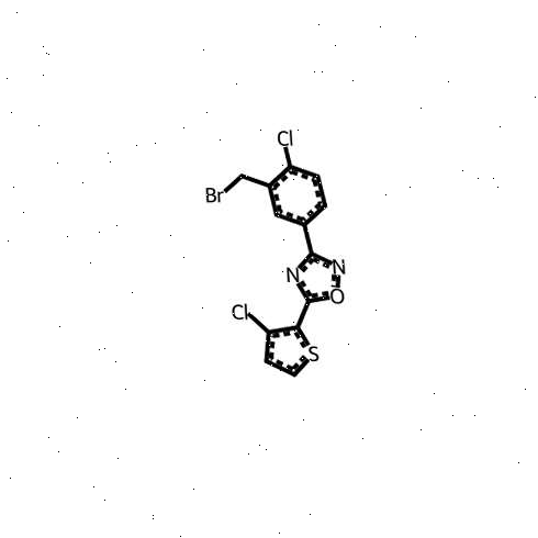 Clc1ccc(-c2noc(-c3sccc3Cl)n2)cc1CBr